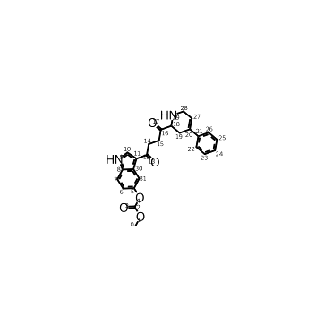 COC(=O)Oc1ccc2[nH]cc(C(=O)CCC(=O)C3CC(c4ccccc4)=CCN3)c2c1